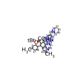 Cc1ccc(-c2c([C@H](OC(C)(C)C)C(=O)O)c(C)c3c4c2cc(C)n4CCN3c2ncc(CN3CCCCC3)cn2)cc1